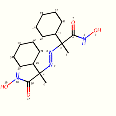 CC(N=NC(C)(C(=O)NO)C1CCCCC1)(C(=O)NO)C1CCCCC1